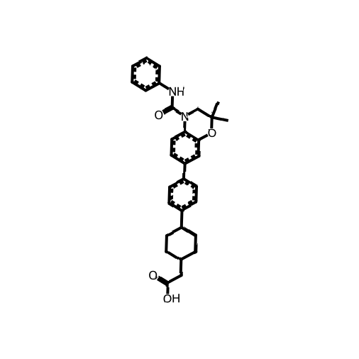 CC1(C)CN(C(=O)Nc2ccccc2)c2ccc(-c3ccc(C4CCC(CC(=O)O)CC4)cc3)cc2O1